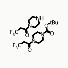 CC(C)(C)OC(=O)N1CCN(C(=O)CC(F)(F)F)CC1.O=C(CC(F)(F)F)N1CCNCC1